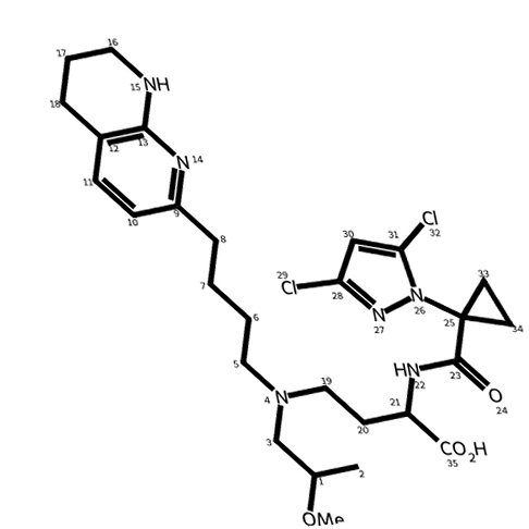 COC(C)CN(CCCCc1ccc2c(n1)NCCC2)CCC(NC(=O)C1(n2nc(Cl)cc2Cl)CC1)C(=O)O